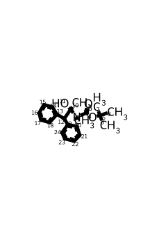 CN(C(=O)OC(C)(C)C)C(C)(O)C(c1ccccc1)c1ccccc1